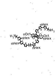 CCCCCCCCC(CCCCCC)CN1C(=O)C2=C(c3ccc(-c4cc(CCCCCC)c(C(C)(C)C(C)(C)c5ccc(-c6cc(CCCCCC)c(-c7sc(C(C)(C)N)cc7CCCCCC)s6)s5)s4)s3)N(CC(CCCCCC)CCCCCCCC)C(=O)C2=C1c1ccc(-c2cc(CCCCCC)c(-c3ccc(C(C)(C)N)s3)s2)s1